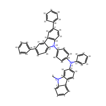 Cn1c2ccccc2c2ccc(N(c3ccccc3)c3ccc(-n4c5ccc(-c6ccccc6)cc5c5cc(-c6ccccc6)ccc54)cc3)cc21